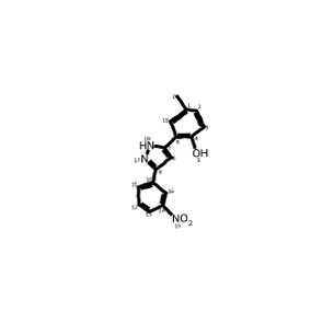 Cc1ccc(O)c(-c2cc(-c3cccc([N+](=O)[O-])c3)n[nH]2)c1